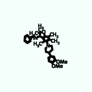 COc1ccc(C2CCN(c3c(C)c(C)c4c(c3C)C(NCc3ccccc3)C(C)(C)O4)CC2)cc1OC